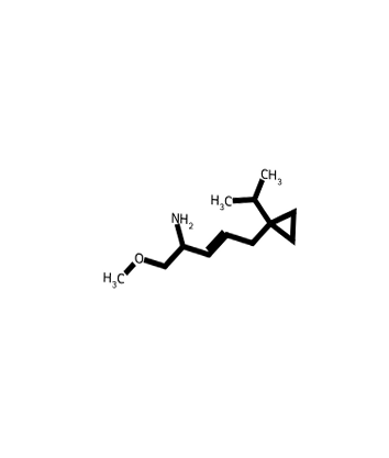 COCC(N)C=CCC1(C(C)C)CC1